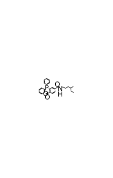 CCC(C)CCCNC(=O)c1ccc(C(=O)OC)c(P(c2ccccc2)c2ccccc2)c1